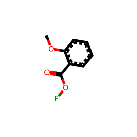 COc1ccccc1C(=O)OF